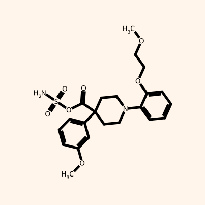 COCCOc1ccccc1N1CCC(C(=O)OS(N)(=O)=O)(c2cccc(OC)c2)CC1